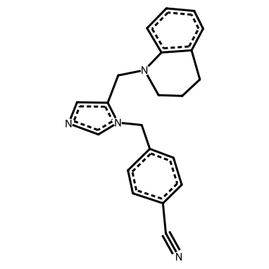 N#Cc1ccc(Cn2cncc2CN2CCCc3ccccc32)cc1